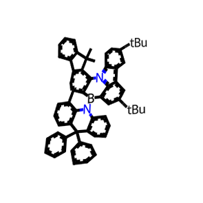 CC(C)(C)c1ccc2c(c1)c1cc(C(C)(C)C)cc3c1n2-c1c2c(cc4c1C(C)(C)c1ccccc1-4)-c1cccc4c1N(B23)c1ccccc1C4(c1ccccc1)c1ccccc1